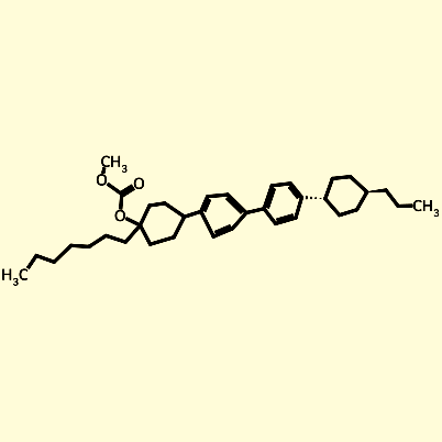 CCCCCCCC1(OC(=O)OC)CCC(c2ccc(-c3ccc([C@H]4CC[C@H](CCC)CC4)cc3)cc2)CC1